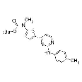 Cc1ccc(Nc2nccc(-c3ccc(N(C)C(=O)OC(C)(C)C)s3)n2)cc1